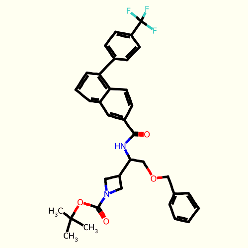 CC(C)(C)OC(=O)N1CC(C(COCc2ccccc2)NC(=O)c2ccc3c(-c4ccc(C(F)(F)F)cc4)cccc3c2)C1